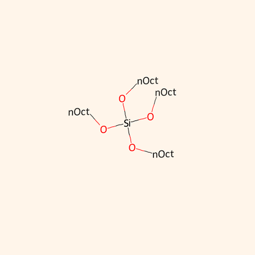 CCCCCCCCO[Si](OCCCCCCCC)(OCCCCCCCC)OCCCCCCCC